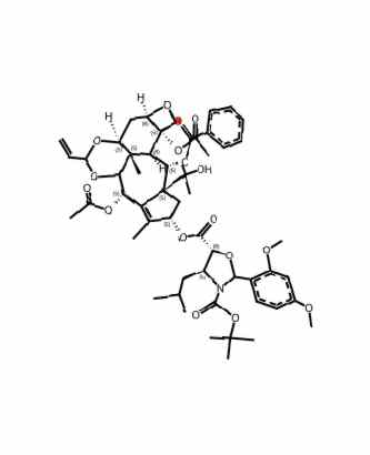 C=CC1OC2[C@@H](OC(C)=O)C3=C(C)[C@@H](OC(=O)[C@@H]4OC(c5ccc(OC)cc5OC)N(C(=O)OC(C)(C)C)[C@H]4CC(C)C)C[C@@]3(C(C)(C)O)[C@@H](OC(=O)c3ccccc3)[C@@H]3[C@]4(OC(C)=O)CO[C@@H]4C[C@H](O1)[C@@]23C